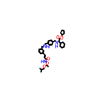 CC(C)COC(C)ONC(=O)/C=C/c1cccc(CNCc2ccc(CN[C@H](C(=O)OC3CCCC3)C3CCCCC3)cc2)c1